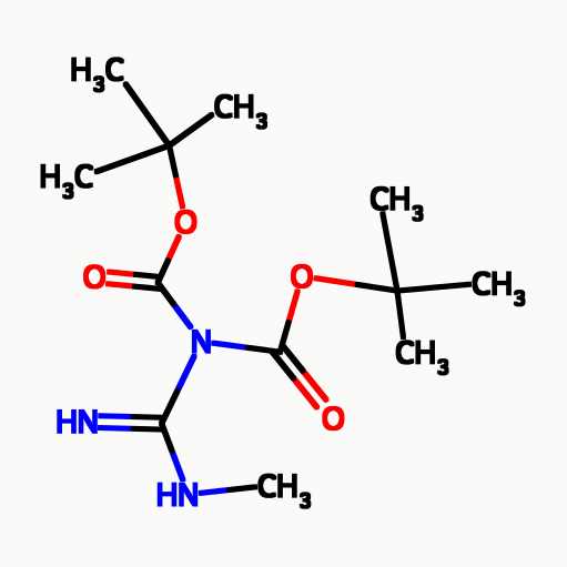 CNC(=N)N(C(=O)OC(C)(C)C)C(=O)OC(C)(C)C